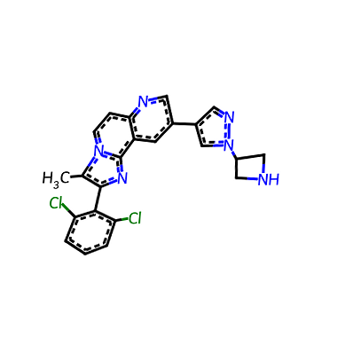 Cc1c(-c2c(Cl)cccc2Cl)nc2c3cc(-c4cnn(C5CNC5)c4)cnc3ccn12